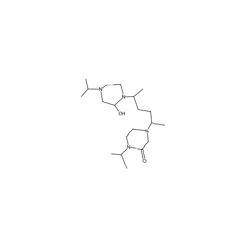 CC(C)N1CCN(C(C)CCC(C)N2CCN(C(C)C)C(=O)C2)C(O)C1